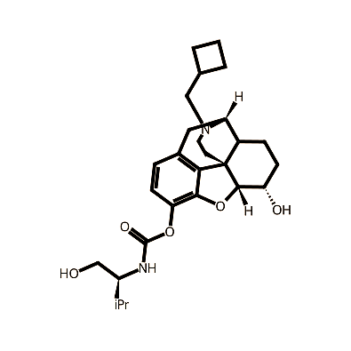 CC(C)[C@@H](CO)NC(=O)Oc1ccc2c3c1O[C@H]1[C@@H](O)CCC4[C@@H](C2)N(CC2CCC2)CC[C@@]341